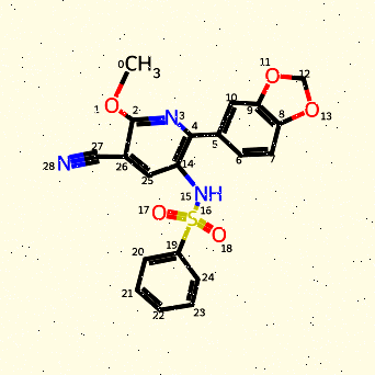 COc1nc(-c2ccc3c(c2)OCO3)c(NS(=O)(=O)c2ccccc2)cc1C#N